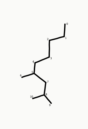 CCCC[CH]C(C)CC(C)C